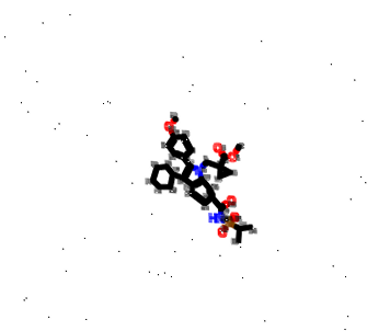 COC(=O)C1(Cn2c(-c3ccc(OC)cc3)c(C3CCCCC3)c3ccc(C(=O)NS(=O)(=O)C(C)C)cc32)CC1